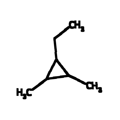 CCC1C(C)C1C